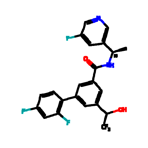 C[C@@H](NC(=O)c1cc(-c2ccc(F)cc2F)cc(C(O)C(F)(F)F)c1)c1cncc(F)c1